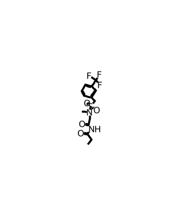 CCC(=O)NC(=O)CN(C)S(=O)(=O)Cc1cccc(C(F)(F)F)c1